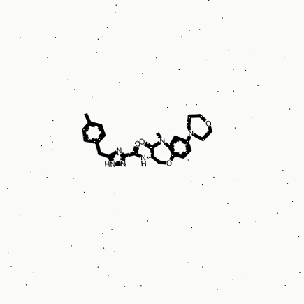 Cc1ccc(Cc2nc(C(=O)N[C@H]3COc4ccc(N5CCCOCC5)cc4N(C)C3=O)n[nH]2)cc1